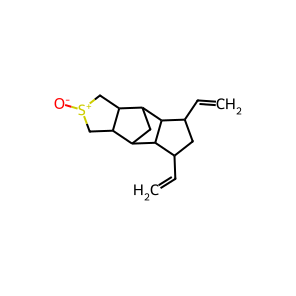 C=CC1CC(C=C)C2C3CC(C4C[S+]([O-])CC43)C12